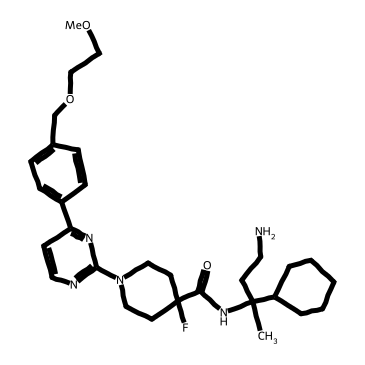 COCCOCc1ccc(-c2ccnc(N3CCC(F)(C(=O)NC(C)(CCN)C4CCCCC4)CC3)n2)cc1